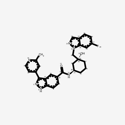 Cc1cc(-c2n[nH]c3ccc(C(=O)N[C@@H]4CCC[C@](O)(Cn5ncc6ccc(F)cc65)C4)cc23)ccn1